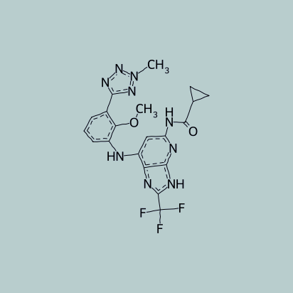 COc1c(Nc2cc(NC(=O)C3CC3)nc3[nH]c(C(F)(F)F)nc23)cccc1-c1nnn(C)n1